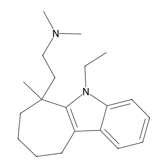 CCn1c2c(c3ccccc31)CCCCC2(C)CCN(C)C